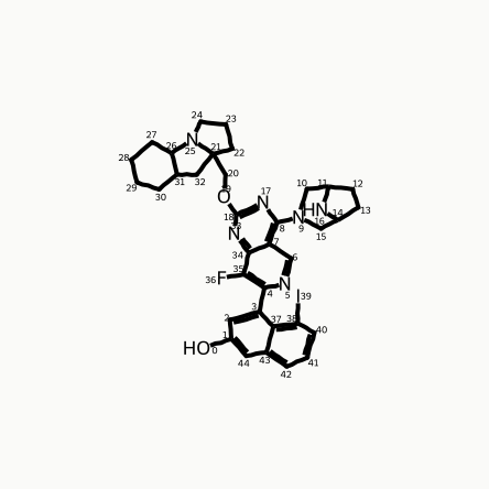 Oc1cc(-c2ncc3c(N4CC5CCC(C4)N5)nc(OCC45CCCN4C4CCCCC4C5)nc3c2F)c2c(I)cccc2c1